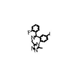 Cc1nnc2n1-c1ccc(I)cc1C(c1ccccc1F)=NC2